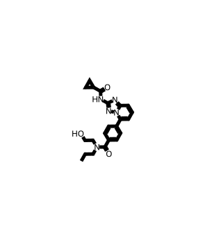 CCCN(CCO)C(=O)c1ccc(-c2cccc3nc(NC(=O)C4CC4)nn23)cc1